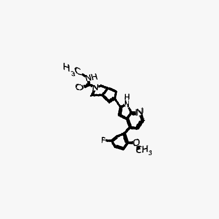 CNC(=O)N1CC2C=C(c3cc4c(-c5cc(F)ccc5OC)ccnc4[nH]3)CC2C1